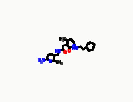 Cc1ccn(NCCc2ccccc2)c(=O)c1CC(=O)NCc1ccc(N)nc1C